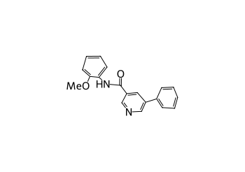 COc1ccccc1NC(=O)c1cncc(-c2ccccc2)c1